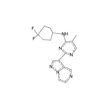 Cc1cnc(-c2cnn3ccncc23)nc1NC1CCC(F)(F)CC1